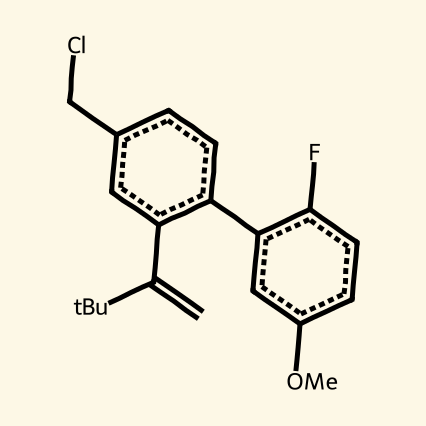 C=C(c1cc(CCl)ccc1-c1cc(OC)ccc1F)C(C)(C)C